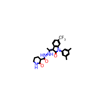 C/C(NNC(=O)C1CCCNC1=O)=C1/C(=O)N(c2cc(C)cc(C)c2)c2cc(C(F)(F)F)ccc21